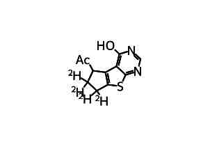 [2H]C1([2H])c2sc3ncnc(O)c3c2C(C(C)=O)C1([2H])[2H]